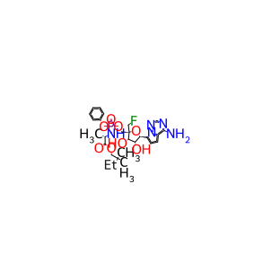 CCC(C)(C)COC(=O)[C@H](C)N[P@@](=O)(OC[C@@]1(CF)O[C@@H](c2ccc3c(N)ncnn23)[C@H](O)[C@@H]1O)Oc1ccccc1